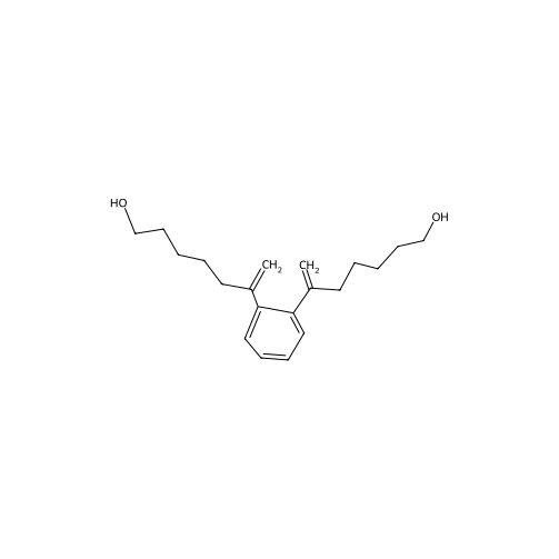 C=C(CCCCCO)c1ccccc1C(=C)CCCCCO